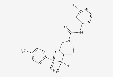 CC(F)(C1CCN(C(=O)Nc2ccnc(F)c2)CC1)S(=O)(=O)c1ccc(C(F)(F)F)cc1